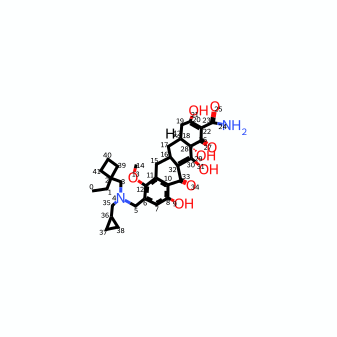 CCC1(CN(Cc2cc(O)c3c(c2OC)CC2C[C@H]4CC(O)=C(C(N)=O)C(=O)[C@@]4(O)C(O)=C2C3=O)CC2CC2)CCC1